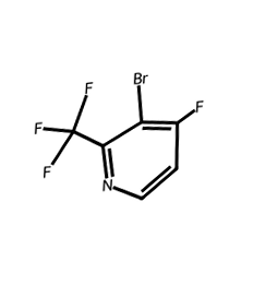 Fc1ccnc(C(F)(F)F)c1Br